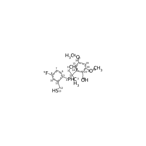 CCC(C)(Pc1ccc(F)cc1CS)c1cc(OC)cc(OC)c1O